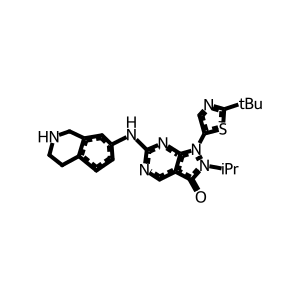 CC(C)n1c(=O)c2cnc(Nc3ccc4c(c3)CNCC4)nc2n1-c1cnc(C(C)(C)C)s1